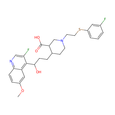 COc1ccc2ncc(F)c(C(O)CCC3CCN(CCSc4cccc(F)c4)CC3C(=O)O)c2c1